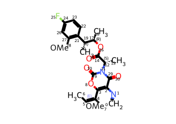 C=Nc1c(/C(=C\C)OC)oc(=O)n([C@@H](C)C(=O)O[C@H](C)[C@H](C)c2ccc(F)cc2OC)c1=O